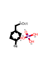 CCCCCCCCCc1cc[c]([Ni])cc1.O=P(O)(O)O